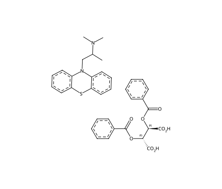 CC(CN1c2ccccc2Sc2ccccc21)N(C)C.O=C(O[C@@H](C(=O)O)[C@@H](OC(=O)c1ccccc1)C(=O)O)c1ccccc1